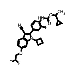 CC(OC(=O)Nc1ccc(-c2c(C#N)c3ccc(OCC(F)F)cc3n2C2CCC2)cc1F)C1CC1